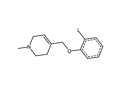 CN1CC=C(COc2ccccc2I)CC1